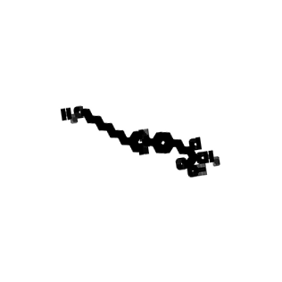 CCCCCCCCCc1cnc(-c2ccc(CCC(Cl)C(C)C(=O)O)cc2)nc1